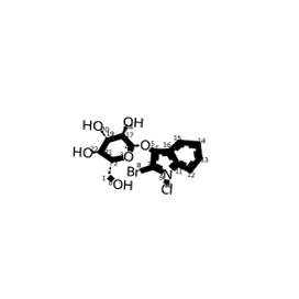 OC[C@H]1O[C@@H](Oc2c(Br)n(Cl)c3ccccc23)[C@H](O)[C@@H](O)[C@H]1O